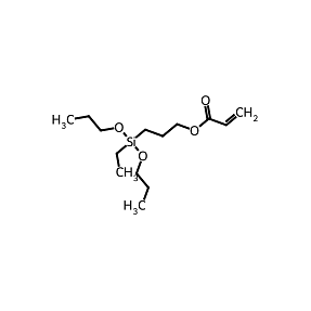 C=CC(=O)OCCC[Si](CC)(OCCC)OCCC